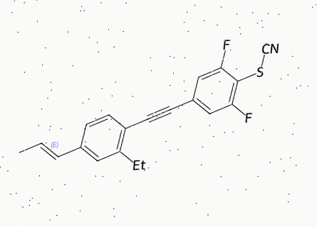 C/C=C/c1ccc(C#Cc2cc(F)c(SC#N)c(F)c2)c(CC)c1